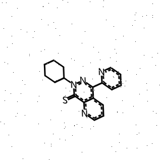 S=c1c2ncccc2c(-c2ccccn2)nn1C1CCCCC1